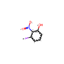 O=[N+]([O-])c1c(O)cccc1I